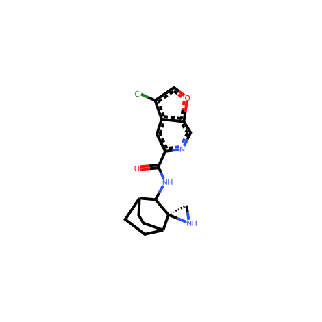 O=C(NC1C2CCC(CC2)[C@@]12CN2)c1cc2c(Cl)coc2cn1